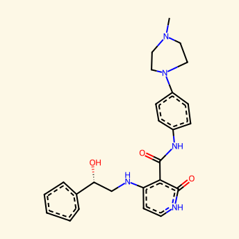 CN1CCN(c2ccc(NC(=O)c3c(NC[C@@H](O)c4ccccc4)cc[nH]c3=O)cc2)CC1